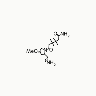 CO[C@@H]1CC(CON)N(C(=O)CC(C)(C)C(C)(C)CC(N)=O)C1